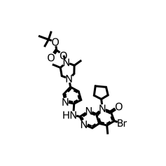 Cc1c(Br)c(=O)n(C2CCCC2)c2nc(Nc3ccc(N4CC(C)N(OC(=O)OC(C)(C)C)C(C)C4)cn3)ncc12